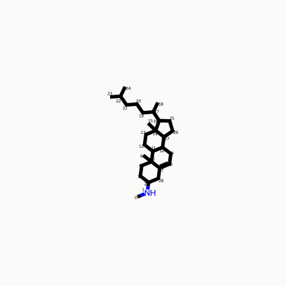 CNC1CCC2(C)C(=CCC3C2CCC2(C)C(C(C)CCCC(C)C)CCC32)C1